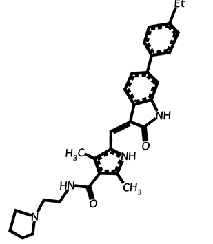 CCc1ccc(-c2ccc3c(c2)NC(=O)/C3=C\c2[nH]c(C)c(C(=O)NCCN3CCCC3)c2C)cc1